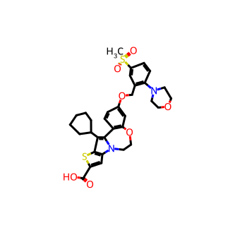 CS(=O)(=O)c1ccc(N2CCOCC2)c(COc2ccc3c(c2)OCCn2c-3c(C3CCCCC3)c3sc(C(=O)O)cc32)c1